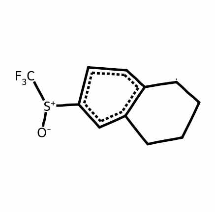 [O-][S+](c1ccc2c(c1)CCC[CH]2)C(F)(F)F